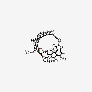 C/C1=C/C=C/[C@H](C)[C@H](O)[C@@H](C)[C@@H](O)[C@@H](C)[C@H](C)[C@H](C)[C@@H](C)/C=C/O[C@@]2(C)Oc3c(C)c(O)c4c(O)c(c(/C=N/N5CCN(CCO)CC5)c(O)c4c3C2=O)NC1=O